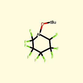 CC(C)(C)[O][Al]1[CH](F)C(F)(F)C(F)(F)C(F)(F)[C]1(F)F